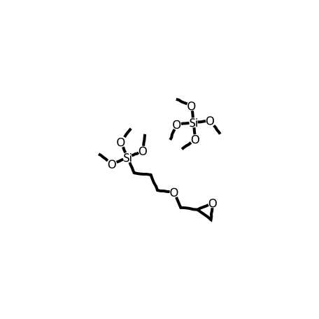 CO[Si](CCCOCC1CO1)(OC)OC.CO[Si](OC)(OC)OC